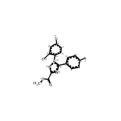 COC(=O)c1nc(-c2ccc(Br)cc2)n(-c2ccc(Cl)cc2Cl)n1